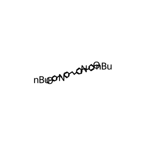 CCCCOc1ccc(/C=N/c2ccc(CCc3ccc(/N=C/c4ccc(OCCCC)cc4)cc3)cc2)cc1